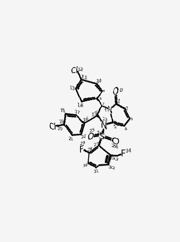 O=c1cccc2n1C(c1ccc(Cl)cc1)C(c1ccc(Cl)cc1)N2S(=O)(=O)c1c(F)cccc1F